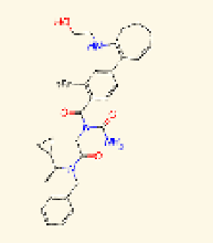 CCCc1cc(C2=C(NCCO)CCCC=C2)ccc1C(=O)N(CC(=O)N(Cc1ccccc1)[C@@H](C)C1CC1)C(N)=O